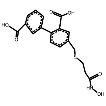 O=C(CCSCc1ccc(-c2cccc(C(=O)O)c2)c(C(=O)O)c1)NO